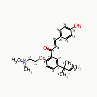 C=CC(C)(C)c1ccc(OCCN(C)C)c(C(=O)C=Cc2ccc(O)cc2)c1